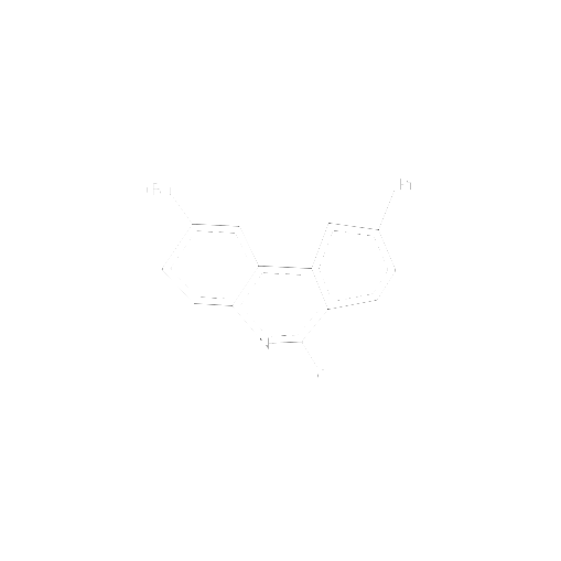 CC(C)c1ccc2c(Cl)nc3ccc(C(C)(C)C)cc3c2c1